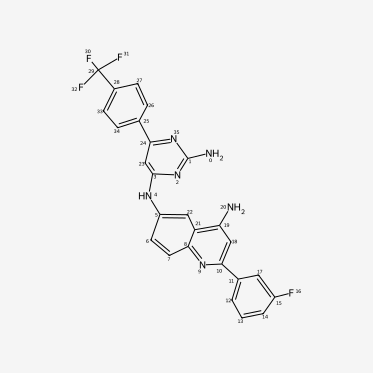 Nc1nc(Nc2ccc3nc(-c4cccc(F)c4)cc(N)c3c2)cc(-c2ccc(C(F)(F)F)cc2)n1